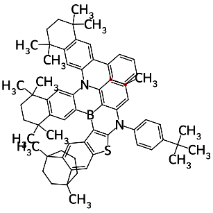 Cc1cc2c3c(c1)N(c1ccc(C(C)(C)C)cc1)c1sc4cc5c(cc4c1B3c1cc3c(cc1N2c1cc2c(cc1-c1ccccc1)C(C)(C)CCC2(C)C)C(C)(C)CCC3(C)C)C1(C)CCCC5(C)CC1